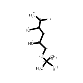 CC(F)C(O)CC(O)COC(C)(C)O